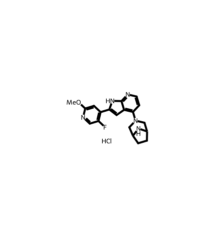 COc1cc(-c2cc3c(N4CC5CCC(C4)N5)ccnc3[nH]2)c(F)cn1.Cl